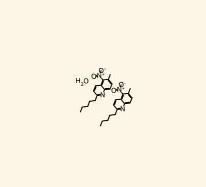 CCCCCc1ccc2c([N+](=O)[O-])c(C)ccc2n1.CCCCCc1ccc2c([N+](=O)[O-])c(C)ccc2n1.O